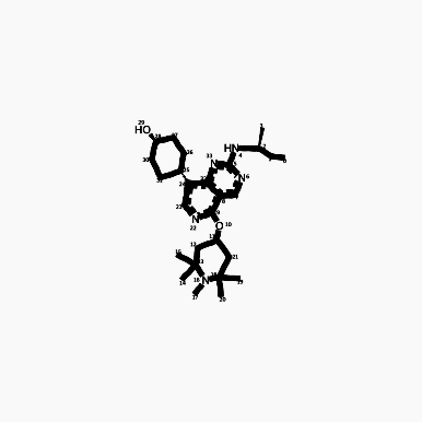 CC[C@H](C)Nc1ncc2c(OC3CC(C)(C)N(C)C(C)(C)C3)ncc([C@H]3CC[C@H](O)CC3)c2n1